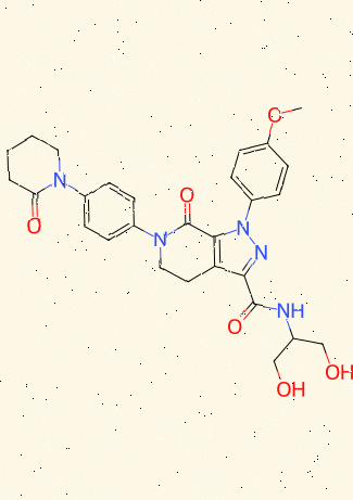 COc1ccc(-n2nc(C(=O)NC(CO)CO)c3c2C(=O)N(c2ccc(N4CCCCC4=O)cc2)CC3)cc1